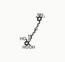 Cc1cc(CCCCOCCCCCCNCc2c(CO)ccc(O)c2CO)cc(C)c1N